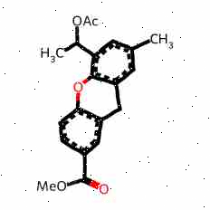 COC(=O)c1ccc2c(c1)Cc1cc(C)cc(C(C)OC(C)=O)c1O2